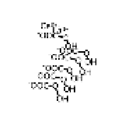 O=C([O-])OO.O=C([O-])OO.O=C([O-])OO.O=C([O-])OO.O=C([O-])OO.O=C([O-])OO.[Ce+3].[La+3]